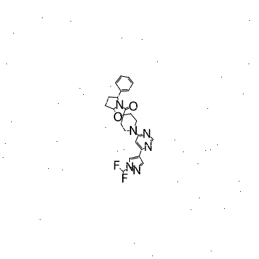 O=C1N2C(CCC2c2ccccc2)OC12CCN(c1cc(-c3cnn(C(F)F)c3)ncn1)CC2